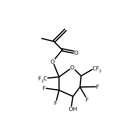 C=C(C)C(=O)OC1(C(F)(F)F)OC(C(F)(F)F)C(F)(F)C(O)C1(F)F